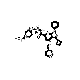 O=C(NS(=O)(=O)NC1CCN(C(=O)O)CC1)c1cc(OCC2CCOOC2)c2c(C3CCC3)nn(-c3ccccc3)c2n1